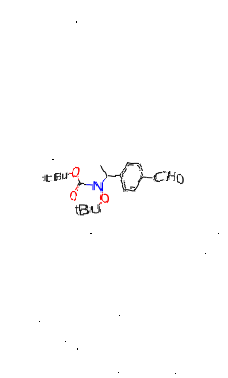 CC(c1ccc(C=O)cc1)N(OC(C)(C)C)C(=O)OC(C)(C)C